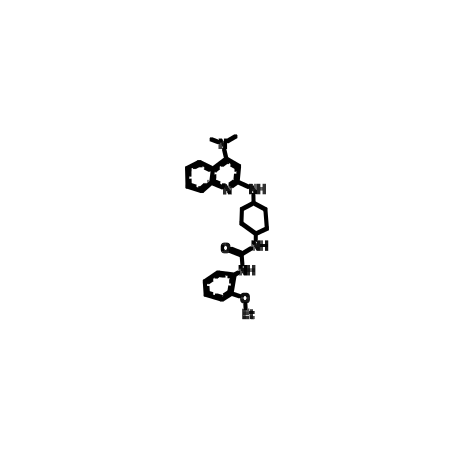 CCOc1ccccc1NC(=O)NC1CCC(Nc2cc(N(C)C)c3ccccc3n2)CC1